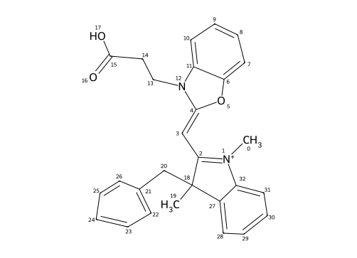 C[N+]1=C(/C=C2\Oc3ccccc3N2CCC(=O)O)C(C)(Cc2ccccc2)c2ccccc21